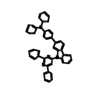 c1ccc(-c2cc(-n3c4ccccc4c4ccc(-c5ccc(N(c6ccccc6)c6ccccc6)cc5)cc43)nc(-c3ccccc3)n2)cc1